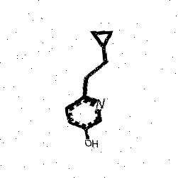 Oc1ccc(CCC2CC2)nc1